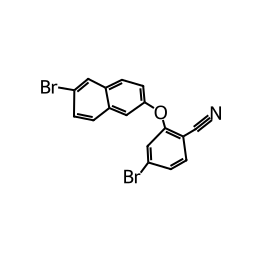 N#Cc1ccc(Br)cc1Oc1ccc2cc(Br)ccc2c1